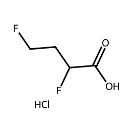 Cl.O=C(O)C(F)CCF